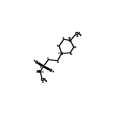 CNS(=O)(=O)CCN1CCN(C)CC1